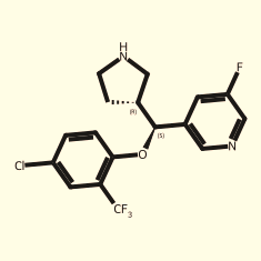 Fc1cncc([C@@H](Oc2ccc(Cl)cc2C(F)(F)F)[C@@H]2CCNC2)c1